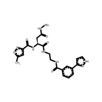 Cc1cc(C(=O)N[C@@H](CC(=O)NC(C)(C)C)C(=O)NCCNC(=O)c2cccc(-c3cc[nH]n3)c2)no1